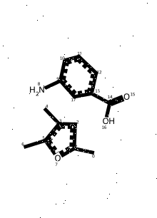 Cc1cc(C)c(C)o1.Nc1cccc(C(=O)O)c1